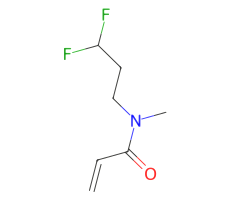 C=CC(=O)N(C)CCC(F)F